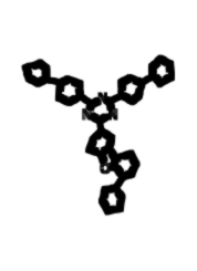 c1ccc(-c2ccc(-c3nc(-c4ccc(-c5ccccc5)cc4)nc(-c4ccc5oc6c(-c7ccccc7)cccc6c5c4)n3)cc2)cc1